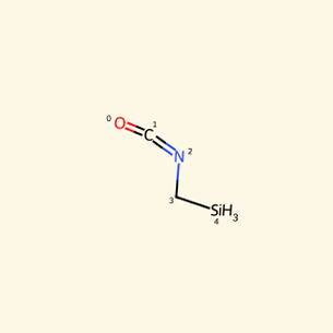 O=C=NC[SiH3]